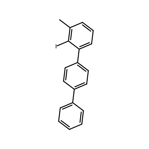 Cc1cccc(-c2ccc(-c3ccccc3)cc2)c1I